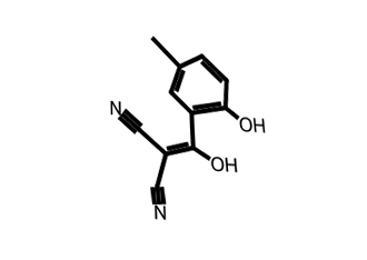 Cc1ccc(O)c(C(O)=C(C#N)C#N)c1